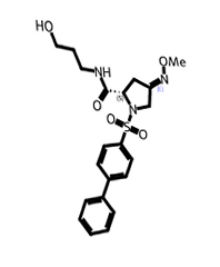 CO/N=C1\C[C@@H](C(=O)NCCCO)N(S(=O)(=O)c2ccc(-c3ccccc3)cc2)C1